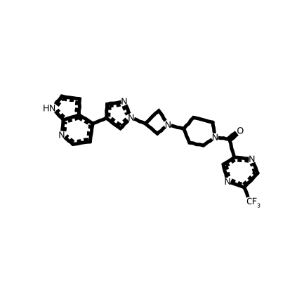 O=C(c1cnc(C(F)(F)F)cn1)N1CCC(N2C[C](n3cc(-c4ccnc5[nH]ccc45)cn3)C2)CC1